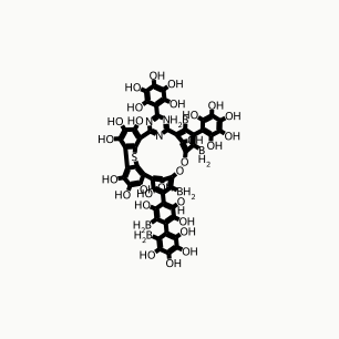 Bc1c2c(O)c(c(B)c1-c1c(O)c(O)c(O)c(O)c1O)-c1nc(-c3c(O)c(O)c(O)c(O)c3O)nc(n1)-c1c(O)c(O)c(O)c3c1sc1c(c(O)c(O)c(O)c13)-c1c(O)c(c(B)c(-c3c(O)c(B)c(-c4c(B)c(O)c(O)c(O)c4O)c(O)c3O)c1O)OO2